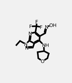 CCn1ncc2c(NC3CCOCC3)c(/C=N/O)c(C(F)(F)F)nc21